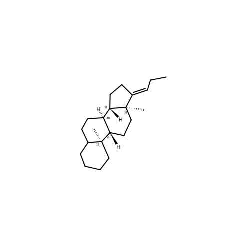 CCC=C1CC[C@H]2[C@@H]3CCC4CCCC[C@]4(C)[C@H]3CC[C@]12C